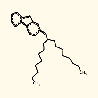 CCCCCCCCC(C=c1ccc2c(c1)C=c1ccccc1=2)CCCCCCCC